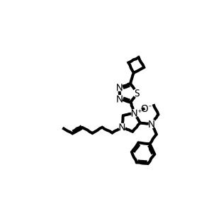 CC=CCCCN1CC(N(CC)Cc2ccccc2)[N+]([O-])(c2nnc(C3CCC3)s2)C1